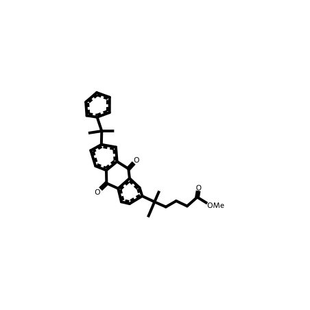 COC(=O)CCCC(C)(C)c1ccc2c(c1)C(=O)c1cc(C(C)(C)c3ccccc3)ccc1C2=O